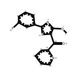 COc1nc(-c2cccc(F)c2)sc1C(=O)c1ccccn1